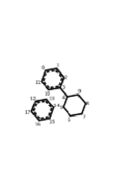 c1ccc(C2CCCCC2)cc1.c1ccccc1